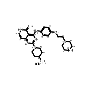 CC1CCN(c2nc(Nc3ccc(OCCN4CCNCC4)cc3)c3c(=O)[nH]ncc3n2)CC1.Cl